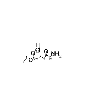 CCOC(=O)CCCC(=O)CN.Cl